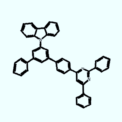 c1ccc(-c2cc(-c3ccc(-c4cc(-c5ccccc5)nc(-c5ccccc5)n4)cc3)cc(-n3c4ccccc4c4ccccc43)c2)cc1